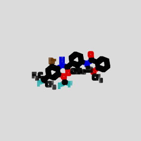 CCN(C(=O)c1ccccc1OC(F)(F)F)c1cccc(C(=O)Nc2c(Br)cc(C(F)(C(F)(F)F)C(F)(F)F)cc2OC(F)F)c1OC